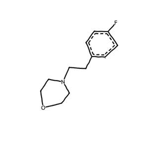 Fc1c[c]c(CCN2CCOCC2)cc1